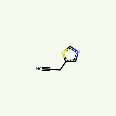 C#CCc1[c]n[c]s1